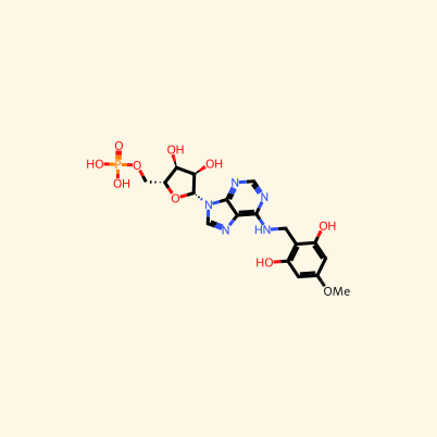 COc1cc(O)c(CNc2ncnc3c2ncn3[C@@H]2O[C@H](COP(=O)(O)O)[C@@H](O)[C@H]2O)c(O)c1